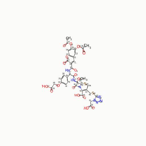 CO[C@@]1(NC(=O)C(NC(=O)c2cc3cc(OC(C)=O)c(OC(C)=O)cc3oc2=O)c2ccc(OCC(=O)O)cc2)C(=O)N2C(C(=O)O)=C(CSc3nnnn3CC(=O)O)CS[C@@H]21